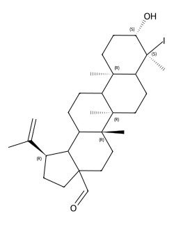 C=C(C)[C@@H]1CCC2(C=O)CC[C@]3(C)C(CCC4[C@@]5(C)CC[C@H](O)[C@@](C)(I)C5CC[C@]43C)C12